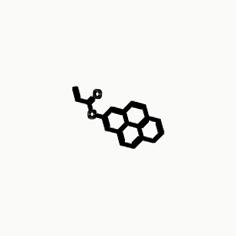 C=CC(=O)OC1=CC2=CC=C3CC=CC4=C3C2C(=C1)C=C4